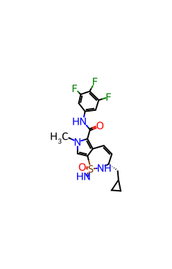 Cn1cc2c(c1C(=O)Nc1cc(F)c(F)c(F)c1)C=C[C@H](CC1CC1)NS2(=N)=O